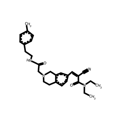 CCN(CC)C(=O)C(C#N)=Cc1ccc2c(c1)CN(CC(=O)N[CH]Cc1ccc(C)cc1)CC2